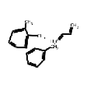 C=CC=C.Cc1ccccc1.Cc1ccccc1C